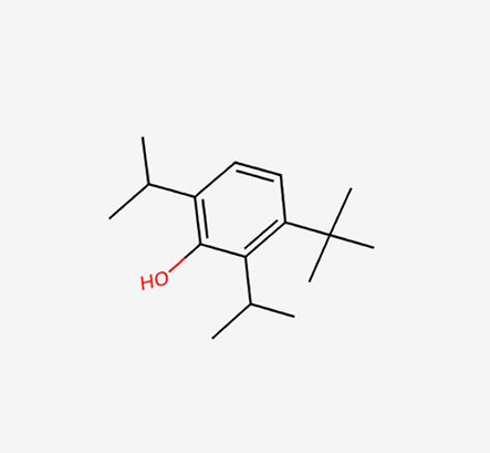 CC(C)c1ccc(C(C)(C)C)c(C(C)C)c1O